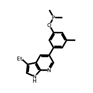 CCc1c[nH]c2ncc(-c3cc(C)cc(OP(C)C)c3)cc12